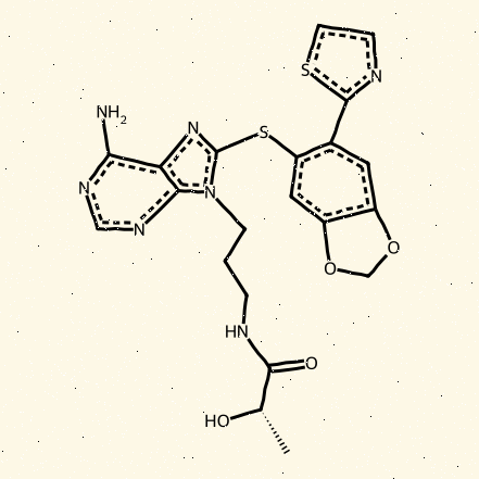 C[C@H](O)C(=O)NCCCn1c(Sc2cc3c(cc2-c2nccs2)OCO3)nc2c(N)ncnc21